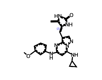 C=c1[nH]c(=O)[nH]/c1=C\c1cnn2c(NC3CC3)cc(Nc3cccc(OC)c3)nc12